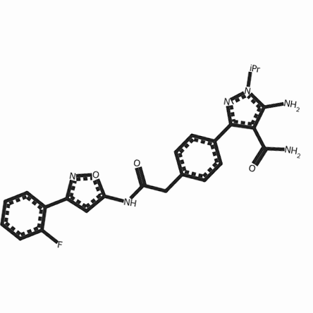 CC(C)n1nc(-c2ccc(CC(=O)Nc3cc(-c4ccccc4F)no3)cc2)c(C(N)=O)c1N